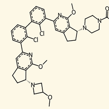 COc1nc(-c2cccc(-c3cccc(-c4cc5c(c(OC)n4)[C@H](N4CC(OC)C4)CC5)c3Cl)c2Cl)cc2c1[C@H](N1CCN(C(C)=O)CC1)CC2